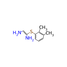 Cc1cccc(S/C(N)=C/N)c1C